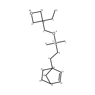 CCC1(CO[Si](C)(C)CCC23C=CC(CC2)C3)COC1